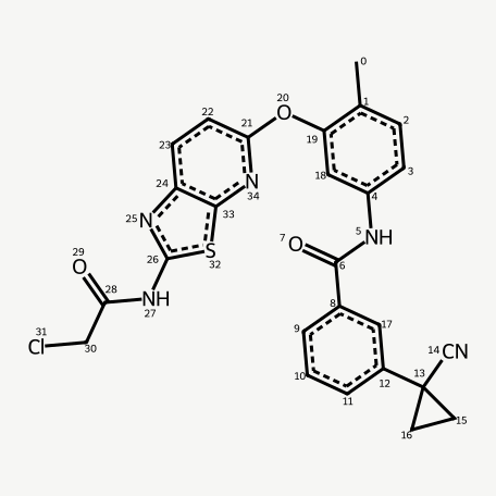 Cc1ccc(NC(=O)c2cccc(C3(C#N)CC3)c2)cc1Oc1ccc2nc(NC(=O)CCl)sc2n1